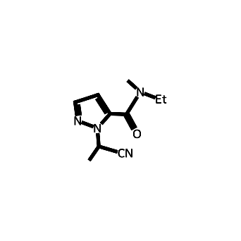 CCN(C)C(=O)c1ccnn1C(C)C#N